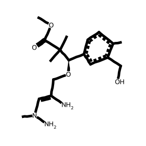 COC(=O)C(C)(C)[C@H](OC/C(N)=C/N(C)N)c1ccc(C)c(CO)c1